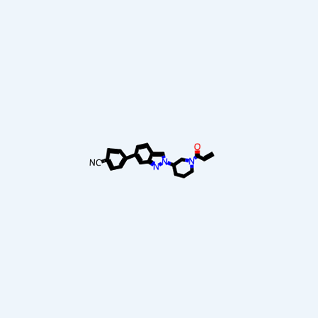 C=CC(=O)N1CCCC(n2cc3ccc(-c4ccc(C#N)cc4)cc3n2)C1